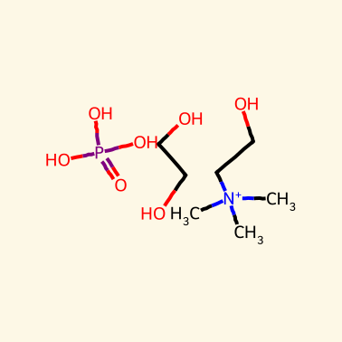 C[N+](C)(C)CCO.O=P(O)(O)O.OCCO